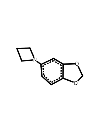 c1cc2c(cc1N1CCC1)OCO2